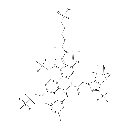 CC(C)(CCc1ccc(-c2ccc(Cl)c3c(N(C(=O)OCCCS(=O)(=O)O)S(C)(=O)=O)nn(CC(F)(F)F)c23)c([C@H](Cc2cc(F)cc(F)c2)NC(=O)Cn2nc(C(F)(F)F)c3c2C(F)(F)[C@@H]2CC32)n1)S(C)(=O)=O